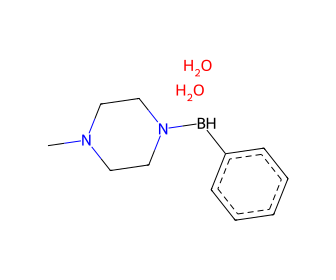 CN1CCN(Bc2ccccc2)CC1.O.O